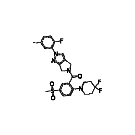 Cc1ccc(F)c(-n2cc3c(n2)CN(C(=O)c2cc(S(C)(=O)=O)ccc2N2CCC(F)(F)CC2)C3)c1